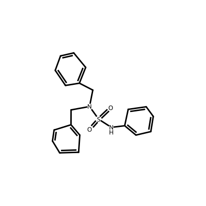 O=S(=O)(Nc1ccccc1)N(Cc1ccccc1)Cc1ccccc1